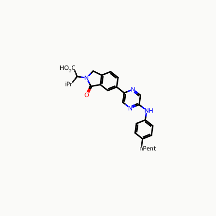 CCCCCc1ccc(Nc2cnc(-c3ccc4c(c3)C(=O)N(C(C(=O)O)C(C)C)C4)cn2)cc1